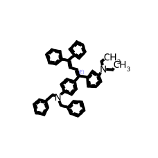 CCN(CC)c1cccc(/C(=C/C=C(c2ccccc2)c2ccccc2)c2ccc(N(Cc3ccccc3)Cc3ccccc3)cc2)c1